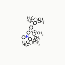 CC1CC2C3(c4cc(-c5ccc6c(c5)C(C)(C)CCC6(C)C)ccc4-c4ccc(N(c5ccccc5)c5ccc6c(c5)C(C)(C)CCC6(C)C)cc43)C3CC(C)C23C1